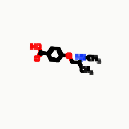 CNC(C)COc1ccc(C(=O)O)cc1